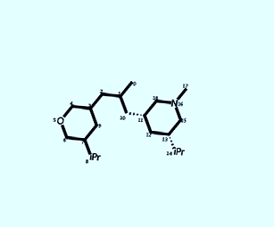 CC(CC1COCC(C(C)C)C1)C[C@H]1C[C@@H](C(C)C)CN(C)C1